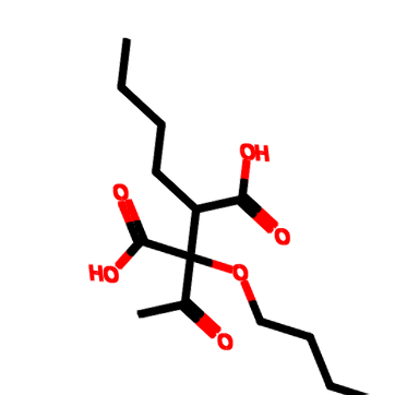 CCCCOC(C(C)=O)(C(=O)O)C(CCCC)C(=O)O